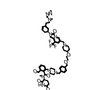 C=N/N=C\N(C)CCC1=CC(n2cc3c(C(F)(F)F)cc(CN4CCC(OCCOCc5ccc(CN6CCN(c7cccc(C=O)c7C(=O)N(C)C7CCC(=O)NC7=O)CC6)cc5)CC4)cn3c2=O)CC=C1